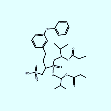 CCC(=O)OC(OP(=O)(OC(OC(=O)CC)C(C)C)C(CCc1cccc(Oc2ccccc2)c1)CS(=O)(=O)O)C(C)C